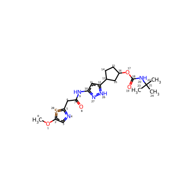 COc1cnc(CC(=O)Nc2cc(C3CCC(OC(=O)NC(C)(C)C)C3)[nH]n2)s1